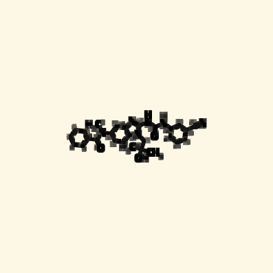 CN(C(=O)c1ccccc1)c1ccc2c(c1)nc(NC(=O)Nc1cccc(C#N)c1)n2CC(C)(C)O